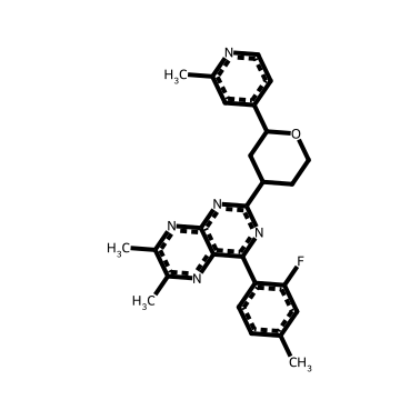 Cc1ccc(-c2nc(C3CCOC(c4ccnc(C)c4)C3)nc3nc(C)c(C)nc23)c(F)c1